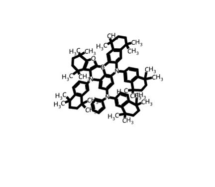 CC1(C)CCC(C)(C)c2cc(N(c3ccccc3)c3cc4c5c(c3)N(c3ccc6c(c3)C(C)(C)CCC6(C)C)c3c(oc6c3C(C)(C)CCC6(C)C)B5c3cc5c(cc3N4c3ccc4c(c3)C(C)(C)CCC4(C)C)C(C)(C)CCC5(C)C)ccc21